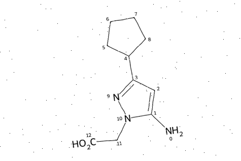 Nc1cc(C2CCCC2)nn1CC(=O)O